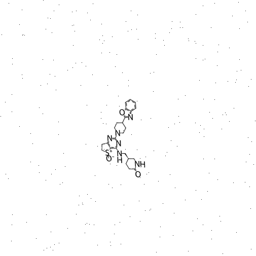 O=C1CC[C@@H](CNc2nc(N3CCC(c4nc5ccccc5o4)CC3)nc3c2[S+]([O-])CC3)CN1